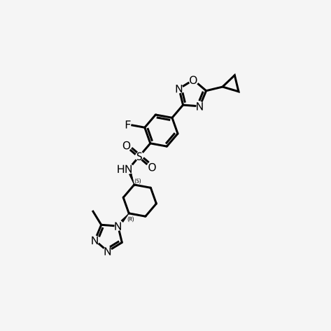 Cc1nncn1[C@@H]1CCC[C@H](NS(=O)(=O)c2ccc(-c3noc(C4CC4)n3)cc2F)C1